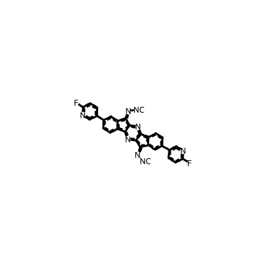 [C-]#[N+]/N=c1/c2cc(-c3ccc(F)nc3)ccc2c2nc3/c(=N/[N+]#[C-])c4cc(-c5ccc(F)nc5)ccc4c3nc12